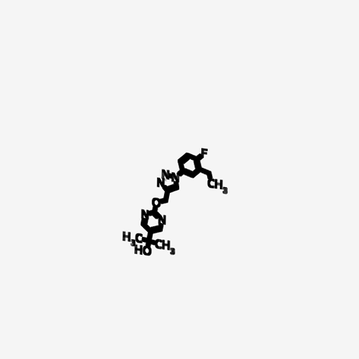 CCc1cc(-n2cc(COc3ncc(C(C)(C)O)cn3)nn2)ccc1F